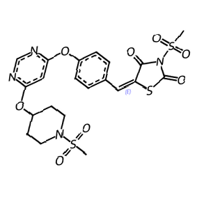 CS(=O)(=O)N1CCC(Oc2cc(Oc3ccc(/C=C4/SC(=O)N(S(C)(=O)=O)C4=O)cc3)ncn2)CC1